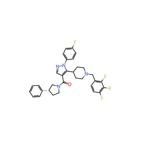 O=C(c1cnn(-c2ccc(F)cc2)c1C1CCN(Cc2ccc(F)c(F)c2F)CC1)N1CC[C@H](c2ccccc2)C1